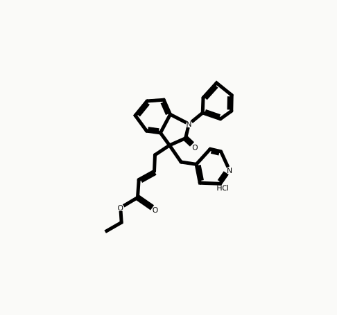 CCOC(=O)C=CCC1(Cc2ccncc2)C(=O)N(c2ccccc2)c2ccccc21.Cl